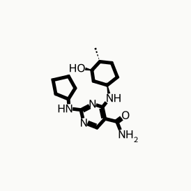 C[C@@H]1CC[C@@H](Nc2nc(NC3CCCC3)ncc2C(N)=O)C[C@H]1O